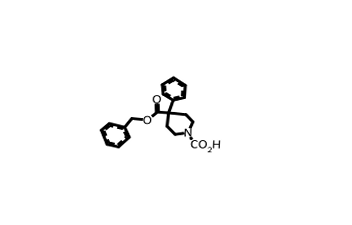 O=C(O)N1CCC(C(=O)OCc2ccccc2)(c2ccccc2)CC1